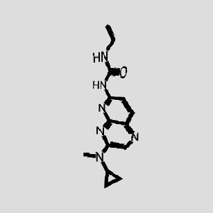 CCNC(=O)Nc1ccc2ncc(N(C)C3CC3)nc2n1